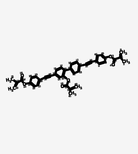 C=C(C)C(=O)Oc1ccc(C#Cc2ccc(-c3ccc(C#Cc4ccc(OC(=O)C(=C)C)cc4)cc3OC(=O)C(=C)C)cc2)cc1